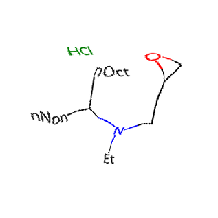 CCCCCCCCCC(CCCCCCCC)N(CC)CC1CO1.Cl